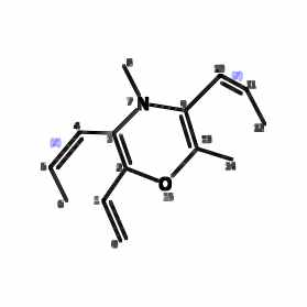 C=CC1=C(/C=C\C)N(C)C(/C=C\C)=C(C)O1